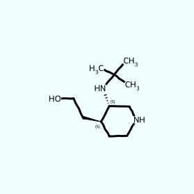 CC(C)(C)N[C@@H]1CNCC[C@H]1CCO